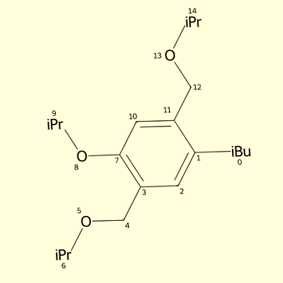 CCC(C)c1cc(COC(C)C)c(OC(C)C)cc1COC(C)C